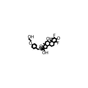 CC12C=C(F)C(=O)C(F)=C1CCC1C2C(O)CC2(C)C1CC1CN(Cc3ccc(OCCO)cc3)OC12C(=O)CO